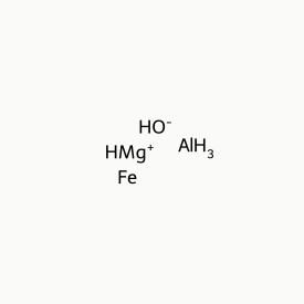 [AlH3].[Fe].[MgH+].[OH-]